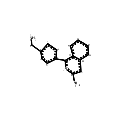 NCc1ccc(-c2nc(N)cc3ccccc23)cc1